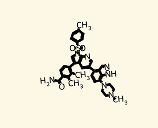 Cc1ccc(S(=O)(=O)n2cc(-c3ccc(C(N)=O)c(C)c3C)c3cc(-c4ccc(N5CCN(C)CC5)c5[nH]ncc45)cnc32)cc1